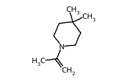 C=C(C)N1CCC(C)(C)CC1